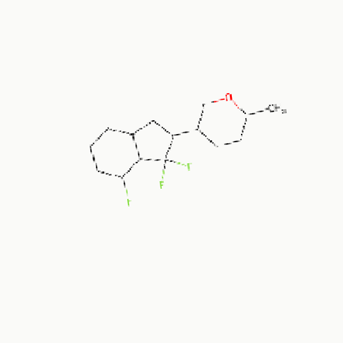 CC1CCC(C2CC3CCCC(F)C3C2(F)F)CO1